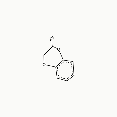 CC(C)[C@H]1COc2ccccc2O1